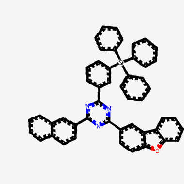 c1ccc([Si](c2ccccc2)(c2ccccc2)c2cccc(-c3nc(-c4ccc5ccccc5c4)nc(-c4ccc5oc6ccccc6c5c4)n3)c2)cc1